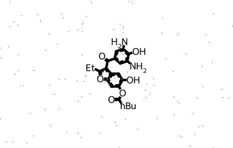 CCCCC(=O)Oc1cc2oc(CC)c(C(=O)c3cc(N)c(O)c(N)c3)c2cc1O